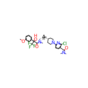 COc1cccc([C@@](O)(C(=O)N(C)C[C@@H]2C[C@@H]2C2CCN(c3ccc(C(=O)N(C)C)c(Cl)n3)CC2)C(F)(F)F)c1